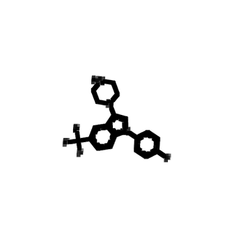 Fc1ccc(-n2cc(N3CCNCC3)c3cc(C(F)(F)F)ccc32)cc1